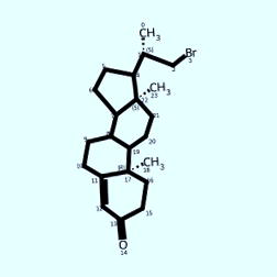 C[C@H](CBr)C1CCC2C3CCC4=CC(=O)CC[C@]4(C)C3CC[C@@]21C